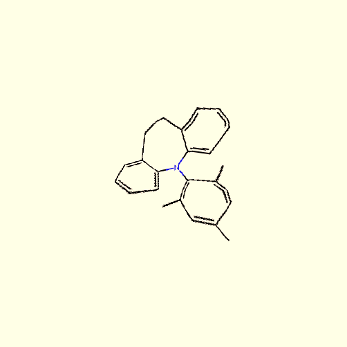 Cc1cc(C)c(N2c3ccccc3CCc3ccccc32)c(C)c1